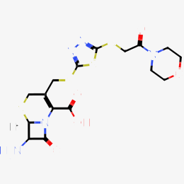 NC1C(=O)N2C(C(=O)O)=C(CSc3nnc(SCC(=O)N4CCOCC4)s3)CS[C@H]12